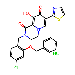 Cl.O=C1c2c(O)c(=O)c(-c3nccs3)cn2CCN1Cc1ccc(Cl)cc1OCc1ccccc1